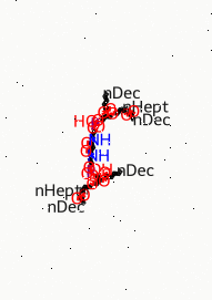 CCCCCCCCCCCCCC(=O)OC(COCC[C@@H](CCCCCCC)OC(=O)CCCCCCCCCCC)COP(=O)(O)OCCNC(=O)CC(=O)NCCOP(=O)(O)OCC(COCC[C@@H](CCCCCCC)OC(=O)CCCCCCCCCCC)OC(=O)CCCCCCCCCCCCC